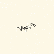 O[C@@H]1CO[C@H]2[C@@H]1OC[C@H]2Oc1nc2nc(NCc3ccn(CC4CCCCC4)n3)c(Cl)cc2[nH]1